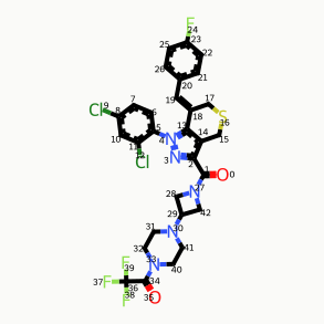 O=C(c1nn(-c2ccc(Cl)cc2Cl)c2c1CSCC2=Cc1ccc(F)cc1)N1CC(N2CCN(C(=O)C(F)(F)F)CC2)C1